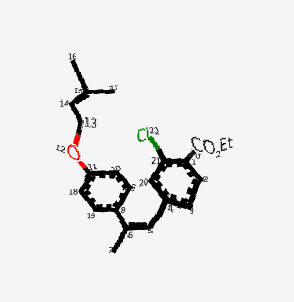 CCOC(=O)c1ccc(C=C(C)c2ccc(OCC=C(C)C)cc2)cc1Cl